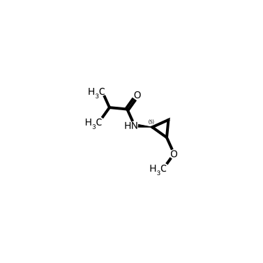 COC1C[C@@H]1NC(=O)C(C)C